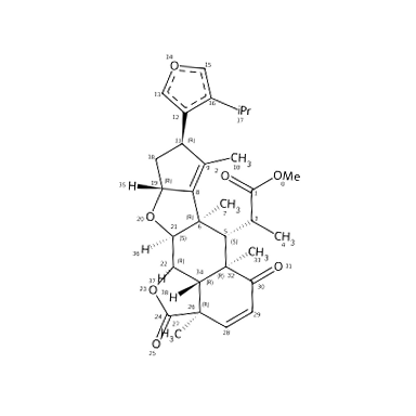 COC(=O)C(C)[C@H]1[C@]2(C)C3=C(C)[C@H](c4cocc4C(C)C)C[C@H]3O[C@@H]2[C@@H]2OC(=O)[C@]3(C)C=CC(=O)[C@@]1(C)[C@@H]23